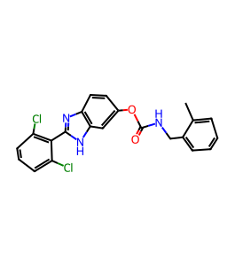 Cc1ccccc1CNC(=O)Oc1ccc2nc(-c3c(Cl)cccc3Cl)[nH]c2c1